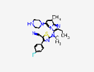 CCc1nc2c(C)cc(N3CCNCC3)cn2c1N(C)c1nc(-c2ccc(F)cc2)c(C#N)s1